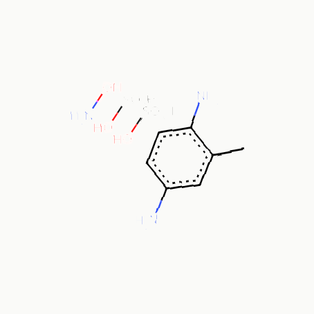 Cc1cc(N)ccc1N.NO.O=S(=O)(O)O.O=S(=O)(O)O